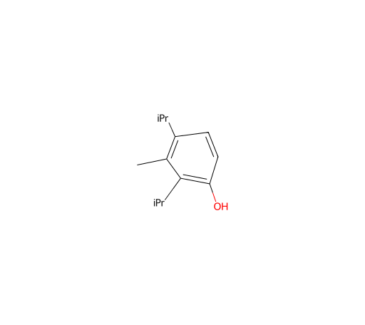 Cc1c(C(C)C)ccc(O)c1C(C)C